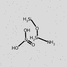 N[SiH2]O[SiH3].O=[Si](O)O